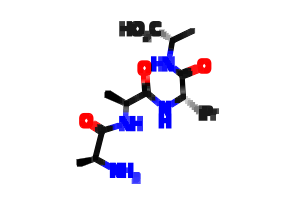 CC(C)[C@H](NC(=O)[C@H](C)NC(=O)[C@H](C)N)C(=O)N[C@@H](C)C(=O)O